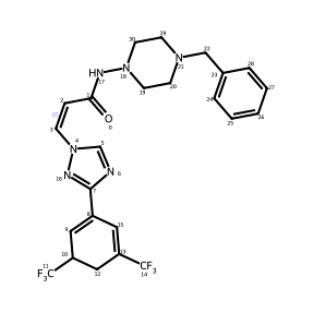 O=C(/C=C\n1cnc(C2=CC(C(F)(F)F)CC(C(F)(F)F)=C2)n1)NN1CCN(Cc2ccccc2)CC1